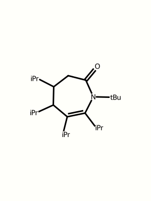 CC(C)C1=C(C(C)C)N(C(C)(C)C)C(=O)CC(C(C)C)C1C(C)C